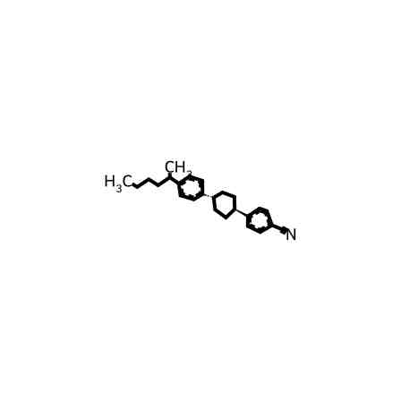 CCCCC(C)c1ccc([C@H]2CC[C@H](c3ccc(C#N)cc3)CC2)cc1